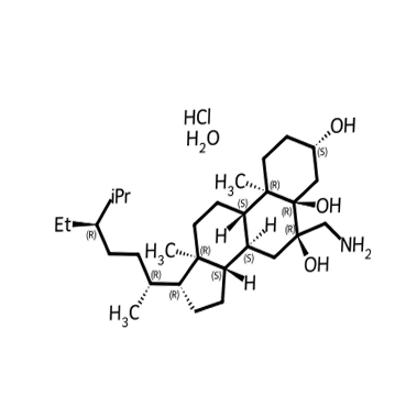 CC[C@H](CC[C@@H](C)[C@H]1CC[C@H]2[C@@H]3C[C@@](O)(CN)[C@@]4(O)C[C@@H](O)CC[C@]4(C)[C@H]3CC[C@]12C)C(C)C.Cl.O